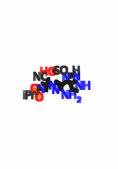 CC(C)S(=O)(=O)N1CC(CC#N)(n2cc(-c3ncnc4[nH]ccc34)c(N)n2)C1.O=S(=O)(O)O